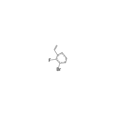 C=Cc1cccc(Br)c1F